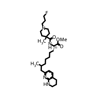 COC(=O)[C@H](CCCCCC(C)Cc1ccc2c(n1)NCCC2)NC(=O)C1(C)CCN(CCCF)CC1